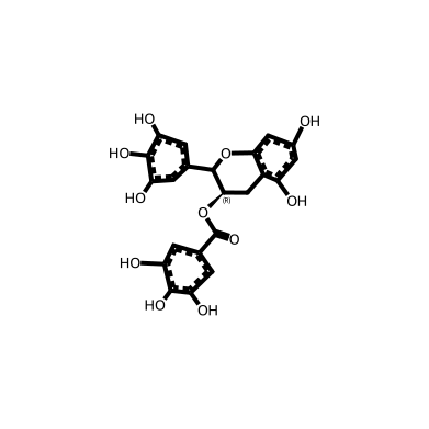 O=C(O[C@@H]1Cc2c(O)cc(O)cc2OC1c1cc(O)c(O)c(O)c1)c1cc(O)c(O)c(O)c1